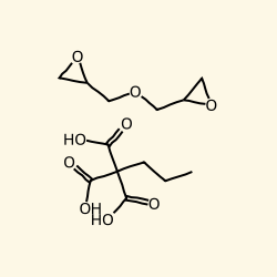 C(OCC1CO1)C1CO1.CCCC(C(=O)O)(C(=O)O)C(=O)O